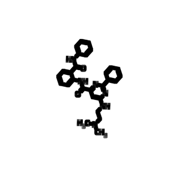 CN(C)CCNc1cc(C(=O)Nc2ccccc2C(=O)Nc2ccccc2)nc(-c2ccccc2)n1